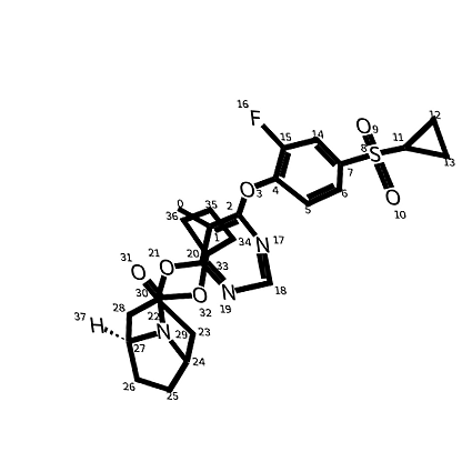 Cc1c(Oc2ccc(S(=O)(=O)C3CC3)cc2F)ncnc1OC1CC2CC[C@@H](C1)N2C(=O)OC1CCC1